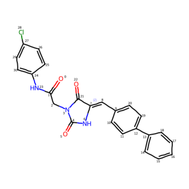 O=C(CN1C(=O)N/C(=C\c2ccc(-c3ccccc3)cc2)C1=O)Nc1ccc(Cl)cc1